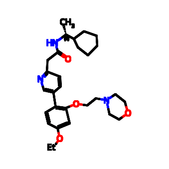 CCOc1ccc(-c2ccc(CC(=O)N[C@H](C)C3CCCCC3)nc2)c(OCCN2CCOCC2)c1